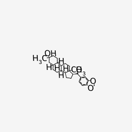 C[C@@]1(O)CC[C@H]2[C@H](CC[C@@H]3[C@@H]2CC[C@]2(C)[C@@H](C(=O)c4ccc5c(c4)OCO5)CC[C@@H]32)C1